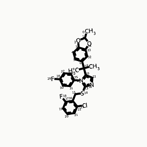 CC1Oc2ccc(C(C)(C)c3cnc(SCc4c(F)cccc4Cl)n3-c3ccc(F)cc3)cc2O1